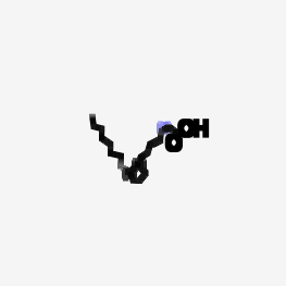 CCCCCCCC[C@H]1CCC[C@@H]1CCC=C/C=C\C(=O)O